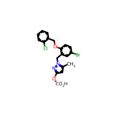 Cc1cc(OC(=O)O)nn1Cc1cc(Br)ccc1OCc1ccccc1Cl